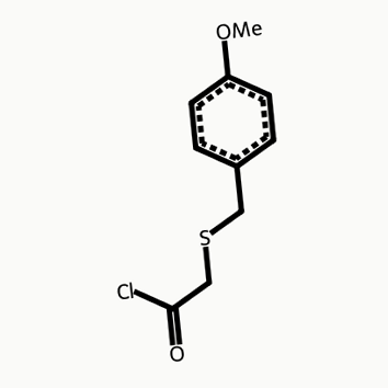 COc1ccc(CSCC(=O)Cl)cc1